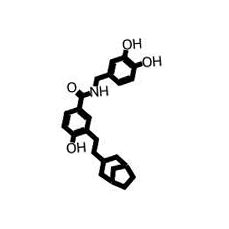 O=C(NCc1ccc(O)c(O)c1)c1ccc(O)c(CCC2CC3CCC(C2)C3)c1